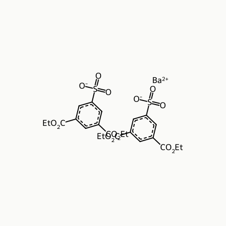 CCOC(=O)c1cc(C(=O)OCC)cc(S(=O)(=O)[O-])c1.CCOC(=O)c1cc(C(=O)OCC)cc(S(=O)(=O)[O-])c1.[Ba+2]